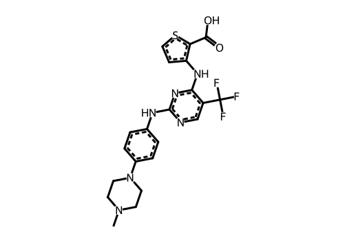 CN1CCN(c2ccc(Nc3ncc(C(F)(F)F)c(Nc4ccsc4C(=O)O)n3)cc2)CC1